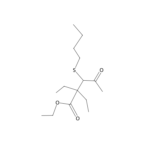 CCCCSC(C(C)=O)C(CC)(CC)C(=O)OCC